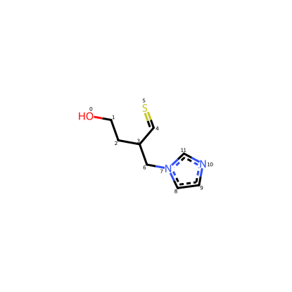 OCCC(C=S)Cn1ccnc1